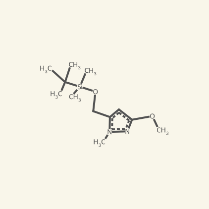 COc1cc(CO[Si](C)(C)C(C)(C)C)n(C)n1